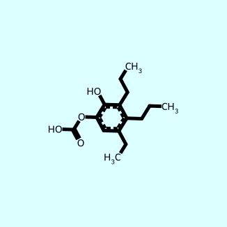 CCCc1c(CC)cc(OC(=O)O)c(O)c1CCC